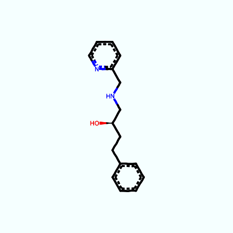 O[C@H](CCc1ccccc1)CNCc1ccccn1